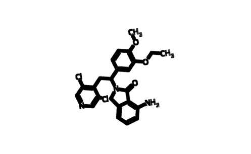 CCOc1cc(C(Cc2c(Cl)cncc2Cl)N2Cc3cccc(N)c3C2=O)ccc1OC